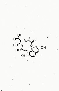 CCC(C)C(=O)O[C@H]1C[C@H](O)C=C2C=C[C@H](C)[C@H](CCC(O)CC(O)CC(=O)O)[C@H]21.[KH]